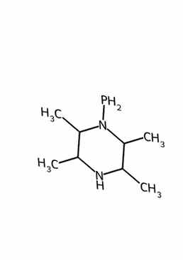 CC1NC(C)C(C)N(P)C1C